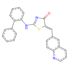 O=C1N=C(Nc2ccccc2-c2ccccc2)S/C1=C\c1ccc2ncccc2c1